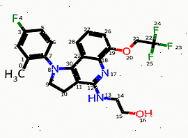 Cc1cc(F)ccc1N1CCc2c(NCCO)nc3c(OCC(F)(F)F)cccc3c21